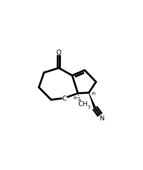 C[C@]12CCCCC(=O)C1=CC[C@H]2C#N